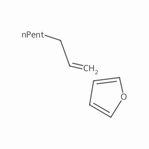 C=CCCCCCC.c1ccoc1